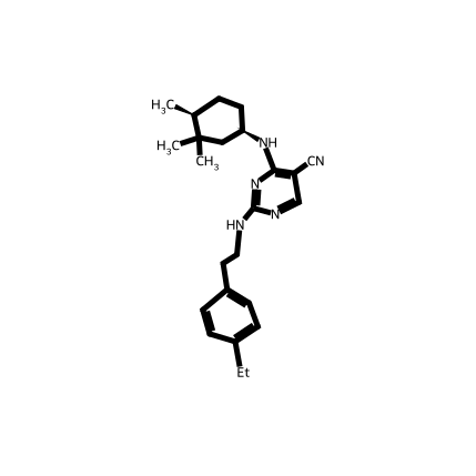 CCc1ccc(CCNc2ncc(C#N)c(N[C@@H]3CC[C@H](C)C(C)(C)C3)n2)cc1